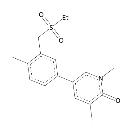 CCS(=O)(=O)Cc1cc(-c2cc(C)c(=O)n(C)c2)ccc1C